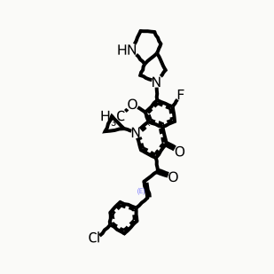 COc1c(N2CC3CCCNC3C2)c(F)cc2c(=O)c(C(=O)/C=C/c3ccc(Cl)cc3)cn(C3CC3)c12